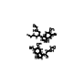 CCCCC(CNC=O)c1c[nH]c2cc(Br)c(OC)cc12.COc1cc2c(C(C)CNC=O)c[nH]c2cc1Br